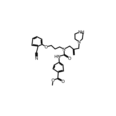 C=C(CN1CCNCC1)CN(CCCOc1ccccc1C#N)C(=O)Nc1ccc(C(=O)OC)cc1